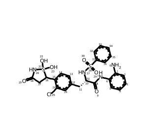 Nc1ccccc1NC(=O)[C@H](Cc1ccc(C2CC(=O)NS2(O)O)c(Cl)c1)NS(=O)(=O)c1ccccc1